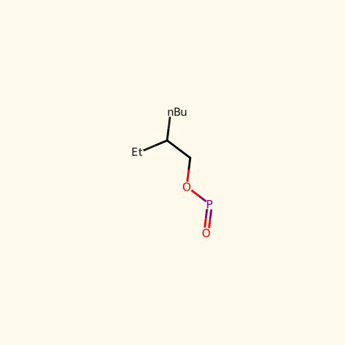 CCCCC(CC)COP=O